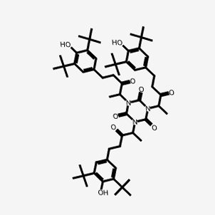 CC(C(=O)CCc1cc(C(C)(C)C)c(O)c(C(C)(C)C)c1)n1c(=O)n(C(C)C(=O)CCc2cc(C(C)(C)C)c(O)c(C(C)(C)C)c2)c(=O)n(C(C)C(=O)CCc2cc(C(C)(C)C)c(O)c(C(C)(C)C)c2)c1=O